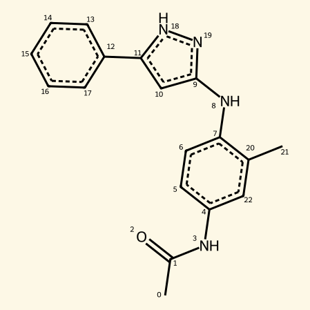 CC(=O)Nc1ccc(Nc2cc(-c3ccccc3)[nH]n2)c(C)c1